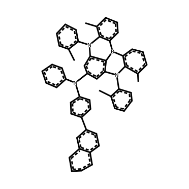 Cc1ccccc1N1c2cc(N(c3ccccc3)c3ccc(-c4ccc5ccccc5c4)cc3)cc3c2B(c2cccc(C)c21)c1cccc(C)c1N3c1ccccc1C